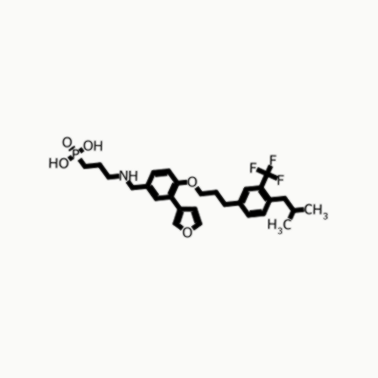 CC(C)Cc1ccc(CCCOc2ccc(CNCCCP(=O)(O)O)cc2-c2ccoc2)cc1C(F)(F)F